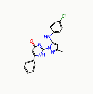 Cc1cc(Nc2ccc(Cl)cc2)n(-c2nc(=O)cc(-c3ccccc3)[nH]2)n1